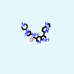 CN1CCC(n2cc(NC(=O)c3cnc4[nH]cc(-c5ccc6nccn6n5)c4c3)cn2)CC1